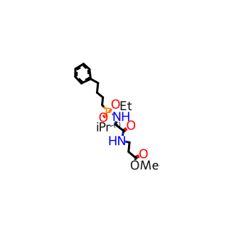 CCOP(=O)(CCCCc1ccccc1)N[C@H](C(=O)NCCC(=O)OC)C(C)C